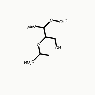 COC(OC=O)C(CO)OC(C)C(=O)O